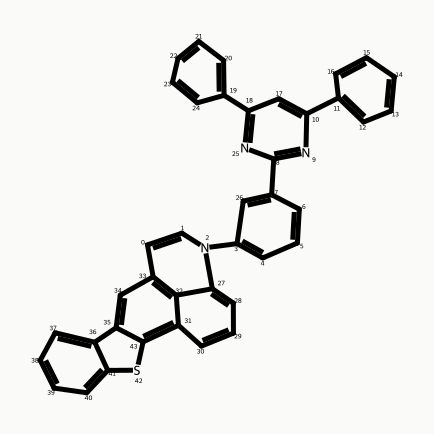 C1=CN(c2cccc(-c3nc(-c4ccccc4)cc(-c4ccccc4)n3)c2)c2cccc3c2c1cc1c2ccccc2sc31